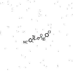 C=NN(CC12CC(C(=O)N3CCC3c3ccc(Cl)cc3)(C1)C2)c1ccc(C#N)cc1C